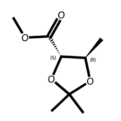 COC(=O)[C@H]1OC(C)(C)O[C@@H]1C